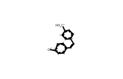 O=C(O)c1ccc(/C=C\c2ccc(Cl)cc2)cc1